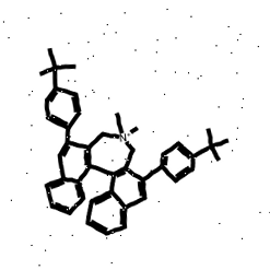 CC(C)(C)c1ccc(-c2cc3ccccc3c3c2C[N+](C)(C)Cc2c(-c4ccc(C(C)(C)C)cc4)cc4ccccc4c2-3)cc1